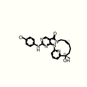 C[C@]1(O)CC/C=C\Cn2c(=O)c3cnc(Nc4ccc(Cl)cc4)nc3n2-c2cccc1n2